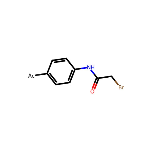 CC(=O)c1ccc(NC(=O)CBr)cc1